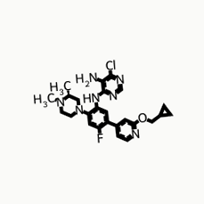 C[C@H]1CN(c2cc(F)c(-c3ccnc(OCC4CC4)c3)cc2Nc2ncnc(Cl)c2N)CCN1C